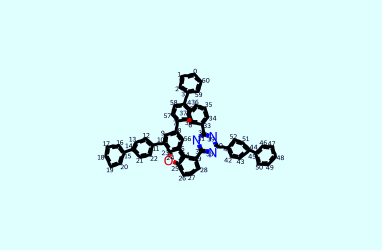 c1ccc(-c2ccc(-c3cc(-c4ccc(-c5ccccc5)cc4)c4oc5cccc(-c6nc(-c7ccccc7)nc(-c7ccc(-c8ccccc8)cc7)n6)c5c4c3)cc2)cc1